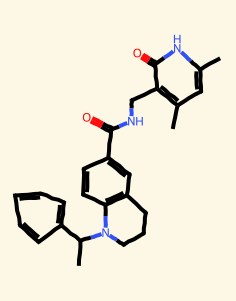 Cc1cc(C)c(CNC(=O)c2ccc3c(c2)CCCN3C(C)c2ccccc2)c(=O)[nH]1